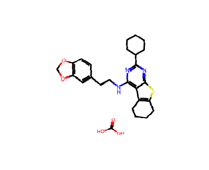 O=C(O)O.c1cc2c(cc1CCNc1nc(C3CCCCC3)nc3sc4c(c13)CCCC4)OCO2